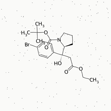 CCOC(=O)C[C@@](O)(c1ccc(Br)cc1)[C@@H]1CCCN1C(=O)OC(C)(C)C